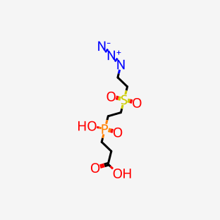 [N-]=[N+]=NCCS(=O)(=O)CCP(=O)(O)CCC(=O)O